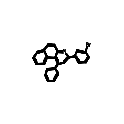 Brc1cccc(-c2cc(-c3ccccc3)c3c(ccc4ccccc43)n2)c1